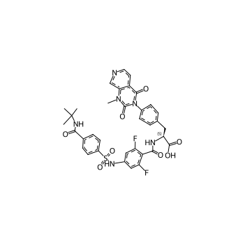 Cn1c(=O)n(-c2ccc(C[C@H](NC(=O)c3c(F)cc(NS(=O)(=O)c4ccc(C(=O)NC(C)(C)C)cc4)cc3F)C(=O)O)cc2)c(=O)c2ccncc21